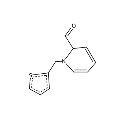 O=CC1C=CC=CN1Cc1cccs1